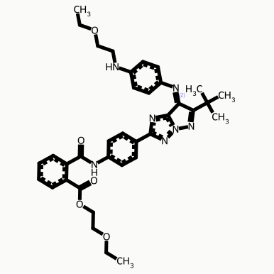 CCOCCNc1ccc(/N=C2/C(C(C)(C)C)=Nn3nc(-c4ccc(NC(=O)c5ccccc5C(=O)OCCOCC)cc4)nc32)cc1